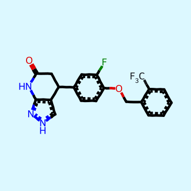 O=C1CC(c2ccc(OCc3ccccc3C(F)(F)F)c(F)c2)c2c[nH]nc2N1